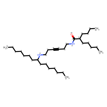 CCCCCCCC(CCCCCCC)NCCC#CCCNC(=O)C(CCCC)CCCCC